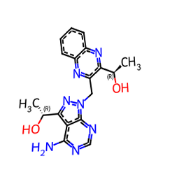 C[C@@H](O)c1nc2ccccc2nc1Cn1nc([C@@H](C)O)c2c(N)ncnc21